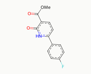 COC(=O)c1ccc(-c2ccc(F)cc2)[nH]c1=O